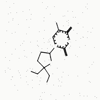 O=c1[nH]c(=O)n(C2OC(CO)(CO)C[C@@H]2F)cc1F